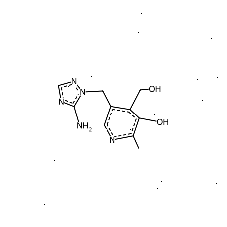 Cc1ncc(Cn2ncnc2N)c(CO)c1O